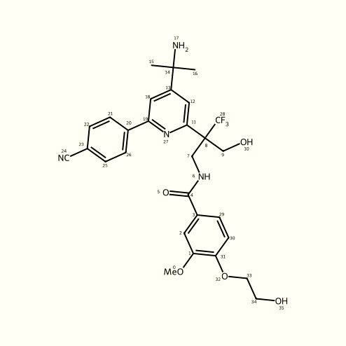 COc1cc(C(=O)NCC(CO)(c2cc(C(C)(C)N)cc(-c3ccc(C#N)cc3)n2)C(F)(F)F)ccc1OCCO